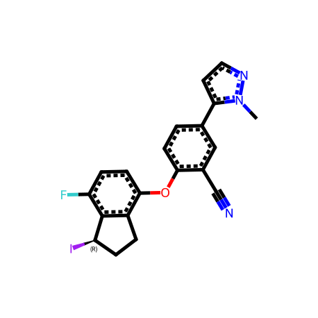 Cn1nccc1-c1ccc(Oc2ccc(F)c3c2CC[C@H]3I)c(C#N)c1